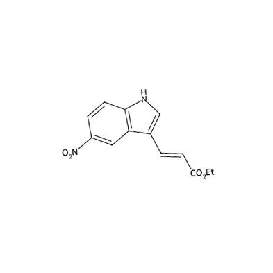 CCOC(=O)C=Cc1c[nH]c2ccc([N+](=O)[O-])cc12